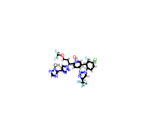 Cn1ncnc1-c1cn(C(CCOC(F)F)c2ccc(-c3c(-n4cc(C(F)(F)F)nn4)ccc(Cl)c3F)c[n+]2[O-])nn1